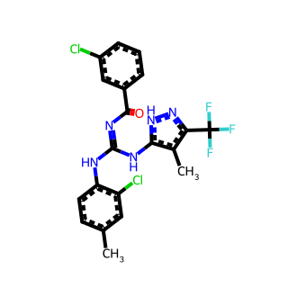 Cc1ccc(N/C(=N/C(=O)c2cccc(Cl)c2)Nc2[nH]nc(C(F)(F)F)c2C)c(Cl)c1